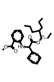 CCCC(CCC)[C@H](CC)OC(=O)C(Nc1ccccc1C(=O)OC)c1ccccc1